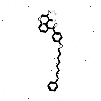 Nc1[c]oc2cccc(C(=O)c3ccc(OCCCCCCCCc4ccccc4)cc3)c2c1=O